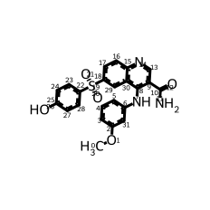 COc1cccc(Nc2c(C(N)=O)cnc3ccc(S(=O)(=O)c4ccc(O)cc4)cc23)c1